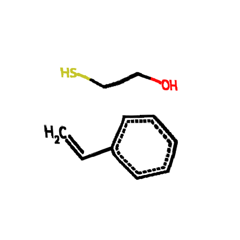 C=Cc1ccccc1.OCCS